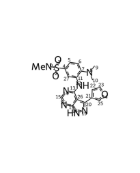 CNS(=O)(=O)c1ccc(N(C)C)c(Nc2ncnc3[nH]nc(-c4ccoc4)c23)c1